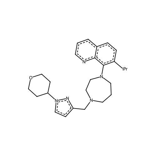 CC(C)c1ccc2cccnc2c1N1CCCN(Cc2ccn(C3CCOCC3)n2)CC1